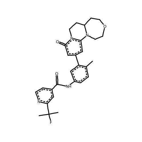 Cc1ccc(NC(=O)c2ccnc(C(C)(C)F)c2)cc1-c1cc2n(c(=O)c1)CCC1CCOCCN21